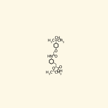 CC(C)OC(Cc1cccc(NC(=O)COc2ccc(C(C)(C)C)cc2)c1)C(=O)O